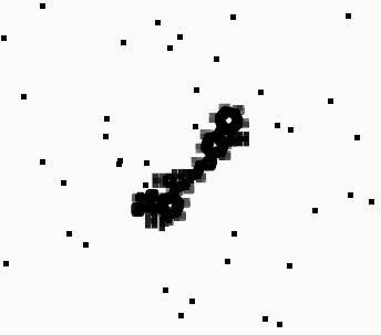 CS(=O)(=O)Nc1cc([C@H](O)CNCCOc2ccc3c4c([nH]c3c2)CCCC4)ccc1F